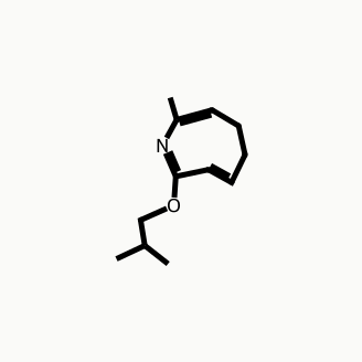 CC1=C/CC/C=C/C(OCC(C)C)=N\1